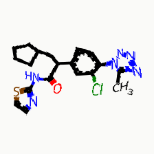 Cc1nnnn1-c1ccc(C(CC2CCCC2)C(=O)Nc2nccs2)cc1Cl